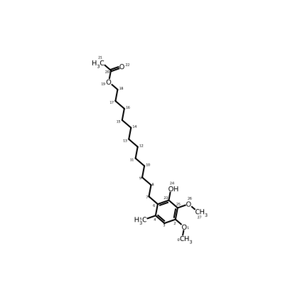 COc1cc(C)c(CCCCCCCCCCCCOC(C)=O)c(O)c1OC